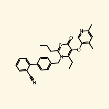 CCCc1nc(=O)c(Oc2cnc(C)cc2C)c(CC)n1Cc1ccc(-c2ccccc2C#N)cc1